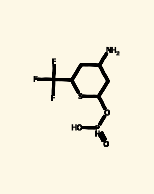 NC1CC(O[PH](=O)O)SC(C(F)(F)F)C1